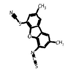 Cc1cc(N=C=S)c2oc3c(SC#N)cc(C)cc3c2c1